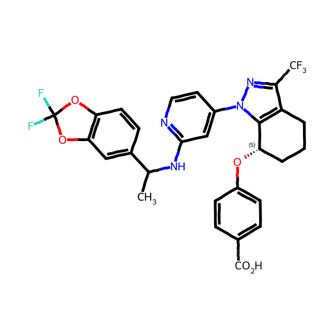 CC(Nc1cc(-n2nc(C(F)(F)F)c3c2[C@@H](Oc2ccc(C(=O)O)cc2)CCC3)ccn1)c1ccc2c(c1)OC(F)(F)O2